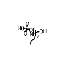 CCCCO.N.O=S(=O)(O)O